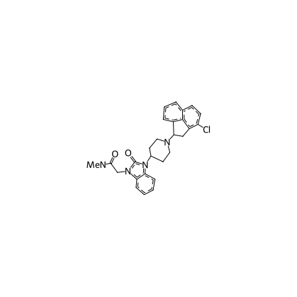 CNC(=O)Cn1c(=O)n(C2CCN(C3Cc4c(Cl)ccc5cccc3c45)CC2)c2ccccc21